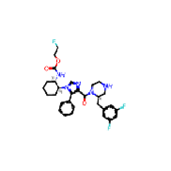 O=C(N[C@H]1CCCC[C@@H]1n1cnc(C(=O)N2CCNC[C@H]2Cc2cc(F)cc(F)c2)c1-c1ccccc1)OCCF